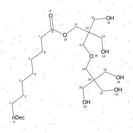 CCCCCCCCCCCCCCCCCC(=O)OCC(CO)(CO)COCC(CO)(CO)CO